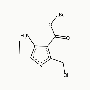 CC.CC(C)(C)OC(=O)c1c(N)csc1CO